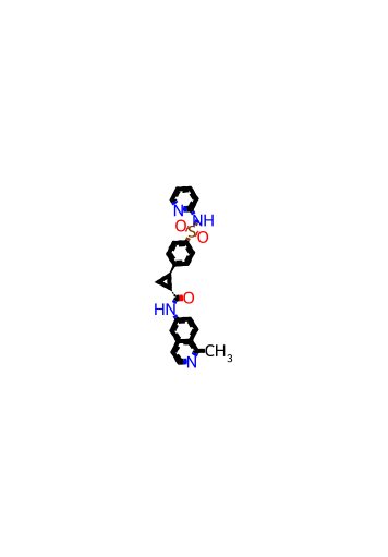 Cc1nccc2cc(NC(=O)[C@@H]3C[C@H]3c3ccc(S(=O)(=O)Nc4ccccn4)cc3)ccc12